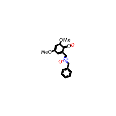 COC1=CC(OC)C(=C=O)C(C=[N+]([O-])Cc2ccccc2)=C1